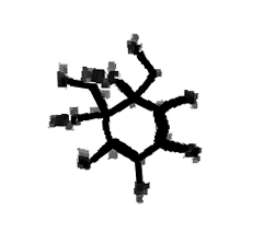 O=C(O)C1(CBr)C(Br)=C(Br)C(Br)=C(Br)C1(CBr)C(=O)O